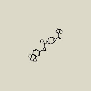 C=C(c1ccco1)N1CCN(C(=O)C2CC2c2ccc3c(c2)OCO3)CC1